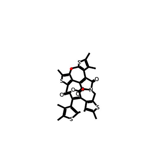 Cc1sc(C)c(C2=C(c3c(C)sc(C)c3C)C(=O)N(Cc3sc(C)c(C)c3C3=C(c4c(C)sc(C)c4C)C(=O)OC3=O)C2=O)c1C